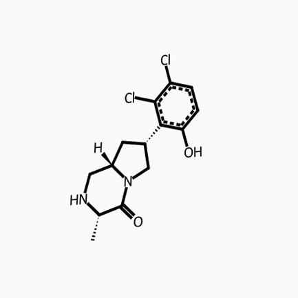 C[C@@H]1NC[C@@H]2C[C@H](c3c(O)ccc(Cl)c3Cl)CN2C1=O